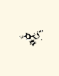 CCOC(=S)SC(c1ccc(C)cc1)C(C)n1ccnc1